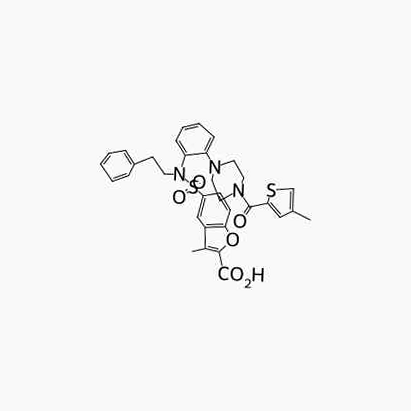 Cc1csc(C(=O)N2CCN(c3ccccc3N(CCc3ccccc3)S(=O)(=O)c3ccc4oc(C(=O)O)c(C)c4c3)CC2)c1